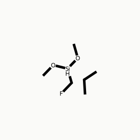 CCC.CO[SiH](CF)OC